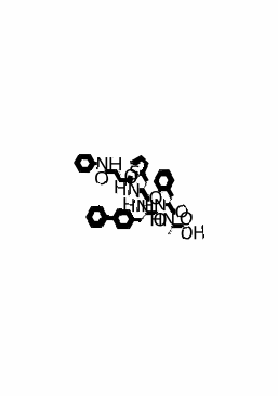 C[C@H](NC(=O)[C@@H](Cc1ccccc1)NC(=O)[C@H](Cc1ccc(-c2ccccc2)cc1)NC(=O)[C@@H](CC1CC=CS1)NC(=O)CCC(=O)Nc1ccccc1)C(=O)O